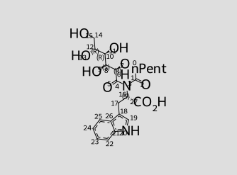 CCCCCC(=O)N(C(=O)[C@H](O)[C@@H](O)[C@H](O)[C@H](O)CO)[C@@H](Cc1c[nH]c2ccccc12)C(=O)O